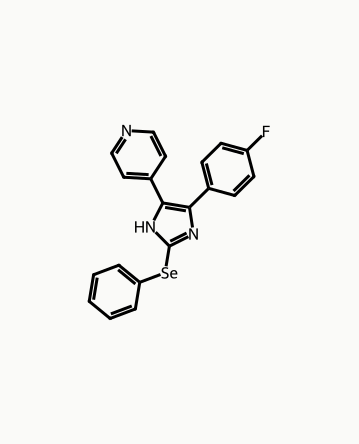 Fc1ccc(-c2nc([Se]c3ccccc3)[nH]c2-c2ccncc2)cc1